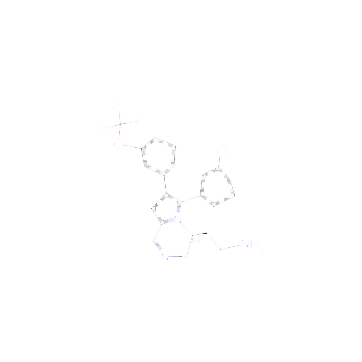 NCC[C@H]1CN=Cc2cc(-c3cccc(OC(F)(F)F)c3)c(-c3cccc(Cl)c3)n21